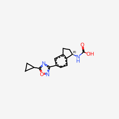 O=C(O)N[C@@H]1CCc2cc(-c3noc(C4CC4)n3)ccc21